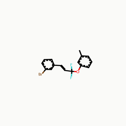 Cc1cccc(OC(F)(F)C=Cc2cccc(Br)c2)c1